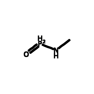 CN[PH2]=O